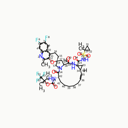 Cc1nc2cc(F)c(F)cc2c2c1O[C@]1(CC2)C[C@H]2C(=O)N[C@]3(C(=O)NS(=O)(=O)C4(C)CC4)C[C@H]3/C=C\CCCCC[C@H](NC(=O)OC(C)(C)C(F)(F)F)C(=O)N2C1